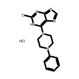 Cl.Clc1nc2ncnc-2c(N2CCN(c3ccccc3)CC2)[nH]1